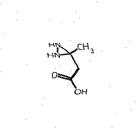 CC1(CC(=O)O)NN1